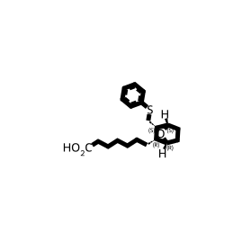 O=C(O)CCCCCC[C@@H]1[C@H](CSc2ccccc2)[C@@H]2CC[C@H]1O2